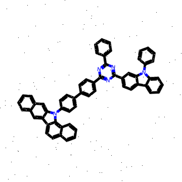 c1ccc(-c2nc(-c3ccc(-c4ccc(-n5c6cc7ccccc7cc6c6ccc7ccccc7c65)cc4)cc3)nc(-c3ccc4c5ccccc5n(-c5ccccc5)c4c3)n2)cc1